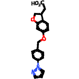 O=C(O)CC1COc2cc(OCc3ccc(-n4cccn4)cc3)ccc21